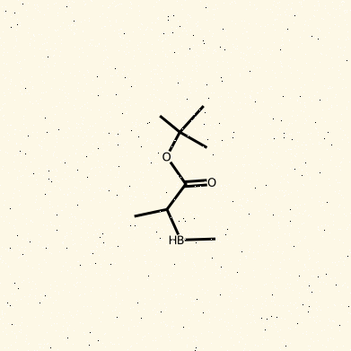 CBC(C)C(=O)OC(C)(C)C